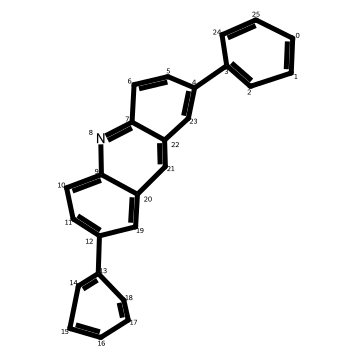 c1ccc(-c2ccc3nc4ccc(-c5ccccc5)cc4cc3c2)cc1